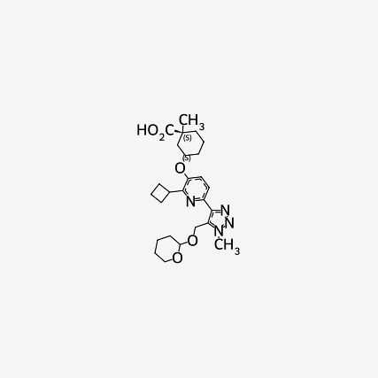 Cn1nnc(-c2ccc(O[C@H]3CCC[C@](C)(C(=O)O)C3)c(C3CCC3)n2)c1COC1CCCCO1